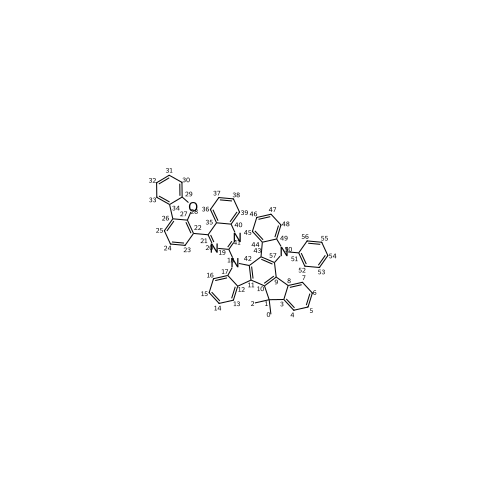 CC1(C)c2ccccc2-c2c1c1c3ccccc3n(-c3nc(-c4cccc5c4oc4ccccc45)c4ccccc4n3)c1c1c3ccccc3n(-c3ccccc3)c21